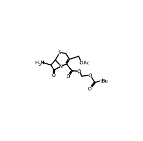 CC(=O)OCC1=C(C(=O)OCOC(=O)C(C)(C)C)N2C(=O)C(N)C2SC1